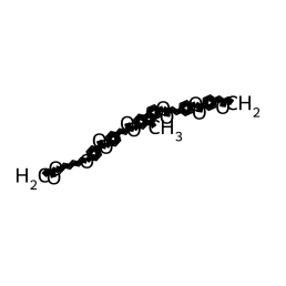 C=CC(=O)Cc1ccc(C(=O)Oc2ccc(CCC(=O)Oc3ccc4c(c3)C(C)c3cc(OC(=O)CCc5ccc(OC(=O)c6ccc(OCCCCCCOC(=O)C=C)cc6)cc5)ccc3-4)cc2)cc1